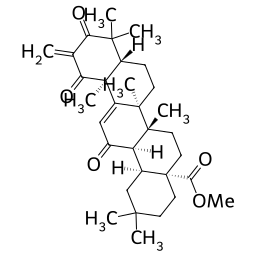 C=C1C(=O)C(C)(C)[C@@H]2CC[C@]3(C)C(=CC(=O)[C@@H]4[C@@H]5CC(C)(C)CC[C@]5(C(=O)OC)CC[C@]43C)[C@@]2(C)C1=O